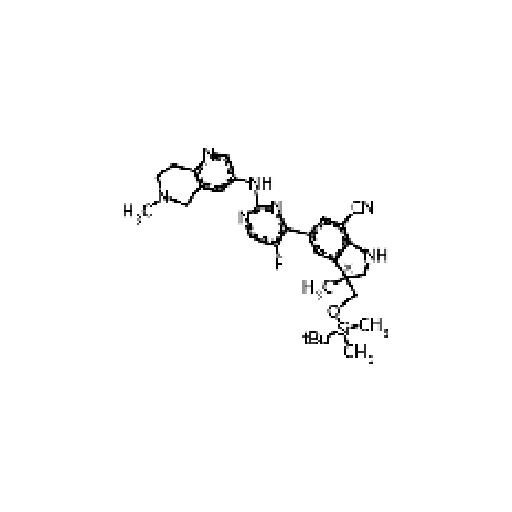 CN1CCc2ncc(Nc3ncc(F)c(-c4cc(C#N)c5c(c4)[C@@](C)(CO[Si](C)(C)C(C)(C)C)CN5)n3)cc2C1